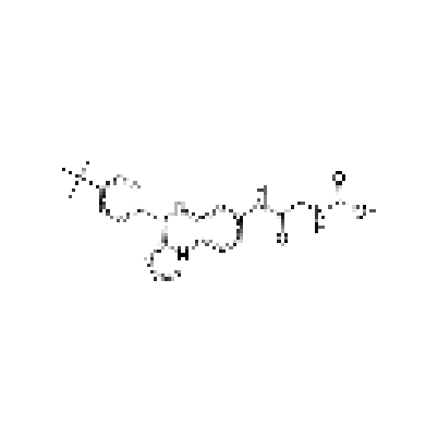 CC(C)(C)c1ccc(-c2nc3cc(NC(=O)CNC(=O)O)ccc3n3cccc23)cc1